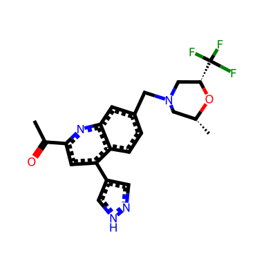 CC(=O)c1cc(-c2cn[nH]c2)c2ccc(CN3C[C@@H](C)O[C@@H](C(F)(F)F)C3)cc2n1